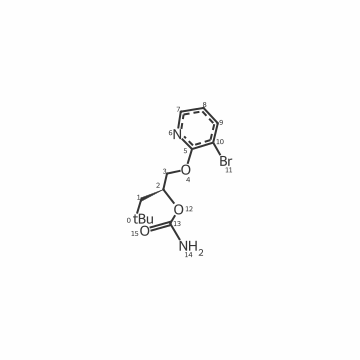 CC(C)(C)C[C@@H](COc1ncccc1Br)OC(N)=O